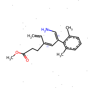 C=C/C(=C\C(=C/N)c1c(C)cccc1C)CCC(=O)OC